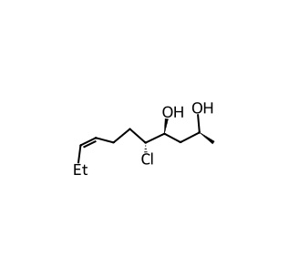 CC/C=C\CC[C@@H](Cl)[C@@H](O)C[C@H](C)O